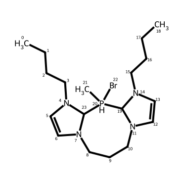 CCCCN1C=CN2CCCN3C=CN(CCCC)C3[PH](C)(Br)C12